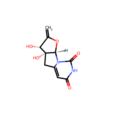 C=C1O[C@H]2n3c(cc(=O)[nH]c3=O)C[C@@]2(O)[C@@H]1O